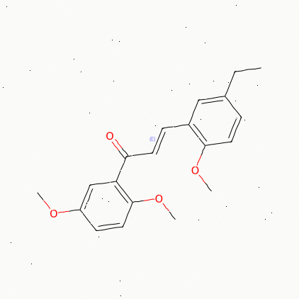 CCc1ccc(OC)c(/C=C/C(=O)c2cc(OC)ccc2OC)c1